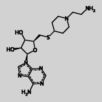 NCCN1CCC(SC[C@H]2O[C@@H](n3cnc4c(N)ncnc43)[C@@H](O)C2O)CC1